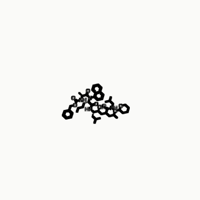 CCCC[C@@H](C(=O)N[C@@H](CC(C)C)[C@@H](O)CC(CC(C)OC1CCCCO1)C(=O)NCC(C)C)N(C(=O)[C@H](C)NC(=O)OCc1ccccc1)c1cccc2ccccc12